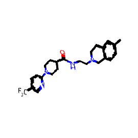 Cc1ccc2c(c1)CCN(CCNC(=O)C1CCN(c3ccc(C(F)(F)F)cn3)CC1)C2